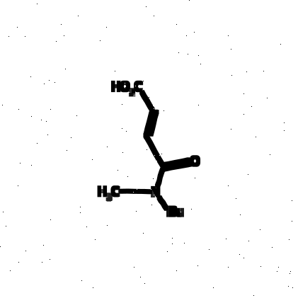 CCC(C)N(C)C(=O)/C=C/C(=O)O